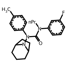 CCCN(C(=O)N(c1ccc(C)cc1)N1C2CCCC1CC2)c1cccc(F)c1